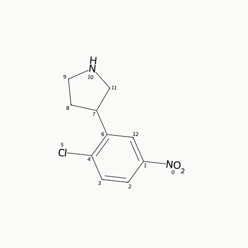 O=[N+]([O-])c1ccc(Cl)c(C2CCNC2)c1